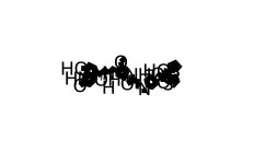 COc1cc(NC(=O)CCN(C)[C@H]2CC[C@H](OC(=O)C(O)(c3cccs3)c3cccs3)CC2)ccc1CNC[C@H](O)c1ccc(O)c2[nH]c(=O)ccc12